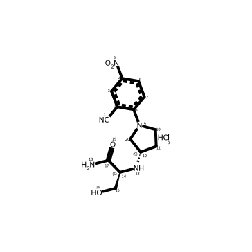 Cl.N#Cc1cc([N+](=O)[O-])ccc1N1CC[C@H](N[C@@H](CO)C(N)=O)C1